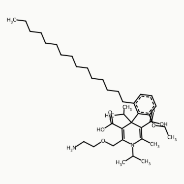 CCCCCCCCCCCCCCCc1cccc(OCC)c1C1(C(C)C)C(C(=O)O)=C(C)N(C(C)C)C(COCCN)=C1C(=O)O